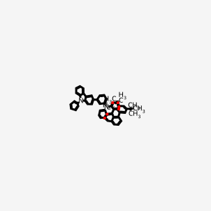 CC(C)(C)c1cc(-c2cccc3cccc(-c4ccccc4N(c4ccccc4)c4cccc(-c5ccc6c(c5)c5ccccc5n6-c5ccccc5)c4)c23)cc(C(C)(C)C)c1